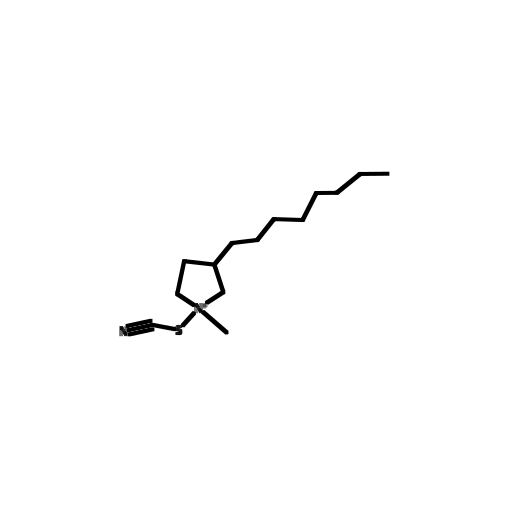 CCCCCCCCC1CC[N+](C)(SC#N)C1